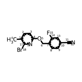 Cc1ccc(OCc2ccc(C#N)cc2F)nc1Br